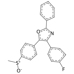 C[S+]([O-])c1ccc(-c2oc(-c3ccccc3)nc2-c2ccc(F)cc2)cc1